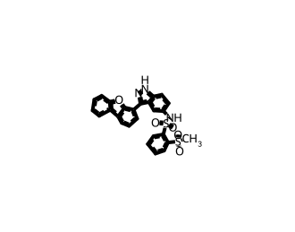 CS(=O)(=O)c1ccccc1S(=O)(=O)Nc1ccc2[nH]nc(-c3cccc4c3oc3ccccc34)c2c1